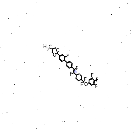 CC1COC(c2ccc(-c3ccc(/C(F)=C(\F)C4CCC(C(F)(F)Oc5cc(F)c(F)c(F)c5)CC4)cc3)c(F)c2)OC1